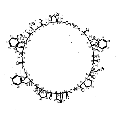 CCCC[C@H]1C(=O)N(C)[C@@H](CCCC)C(=O)N[C@@H](CC(C)C)C(=O)NCCOCC(=O)N[C@@H](Cc2ccccc2)C(=O)N(C)[C@@H](C)C(=O)N[C@@H](CC(C)C)C(=O)N2CCCC2C(=O)NCC(=O)N[C@@H](CC(C)C)C(=O)N2CCC[C@H]2C(=O)N[C@@H](Cc2ccccc2)C(=O)NCC(=O)N[C@@H](Cc2ccccc2)C(=O)N1C